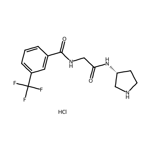 Cl.O=C(CNC(=O)c1cccc(C(F)(F)F)c1)N[C@@H]1CCNC1